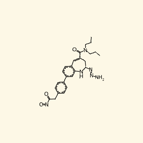 CCCN(CCC)C(=O)C1=Cc2ccc(-c3ccc(CC(=O)N=O)cc3)cc2NC(N=NN)C1